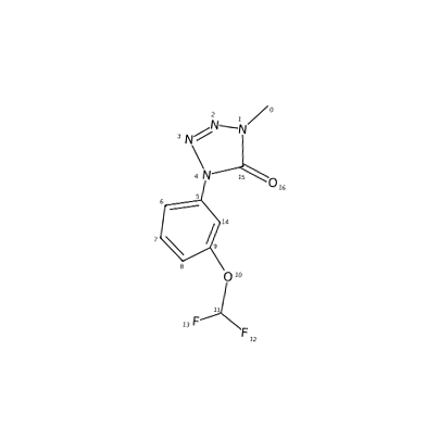 Cn1nnn(-c2cccc(OC(F)F)c2)c1=O